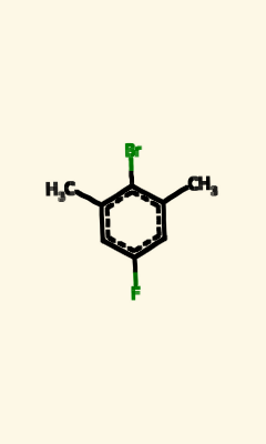 Cc1cc(F)cc(C)c1Br